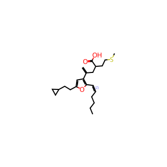 C=C(CC(CCSC)C(=O)O)c1cc(CCC2CC2)oc1/C=C\CCCC